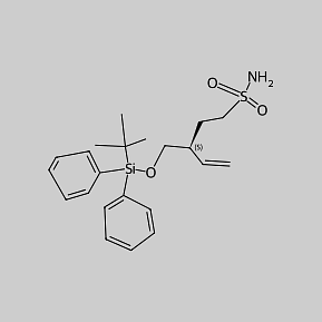 C=C[C@H](CCS(N)(=O)=O)CO[Si](c1ccccc1)(c1ccccc1)C(C)(C)C